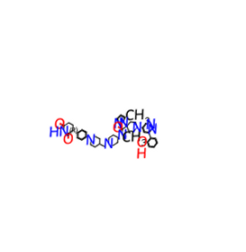 Cc1ccnn1C1(C(=O)N(C)C2CCN(CC3CCN(c4ccc([C@H]5CCC(=O)NC5=O)cc4)CC3)CC2)CCN(c2cnnc(-c3ccccc3O)c2)CC1